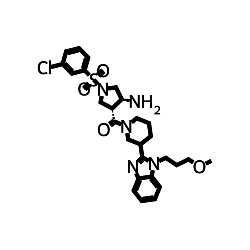 COCCCn1c(C2CCCN(C(=O)[C@@H]3CN(S(=O)(=O)c4cccc(Cl)c4)C[C@H]3N)C2)nc2ccccc21